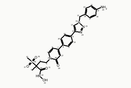 CC(CCn1ccc(-c2ccc(-c3cn(Cc4ccc(N)cc4)nn3)cc2)cc1=O)(C(=O)NO)S(C)(=O)=O